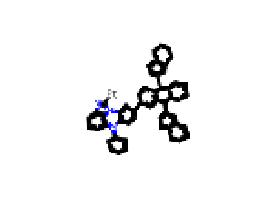 CCc1nc2cccc3c2n1-c1cc(-c2ccc4c(-c5ccc6ccccc6c5)c5ccccc5c(-c5ccc6ccccc6c5)c4c2)ccc1N3c1ccccc1